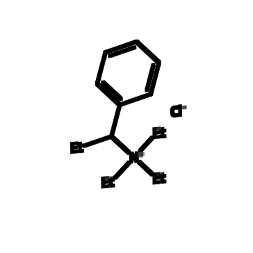 CCC(c1ccccc1)[N+](CC)(CC)CC.[Cl-]